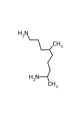 CC(N)CCCC(C)CCCN